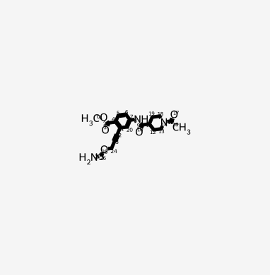 COC(=O)c1ccc(NC(=O)C2CCN(C(C)=O)CC2)cc1C#CCOSN